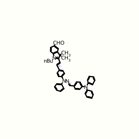 CCCC[N+]1=C(/C=C/c2ccc(N(/N=C/c3ccc(N(c4ccccc4)c4ccccc4)cc3)c3ccccc3)cc2)C(C)(C)c2cc(C=O)ccc21